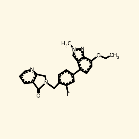 CCOc1ccc(-c2ccc(CN3Cc4ncccc4C3=O)c(F)c2)c2cn(C)nc12